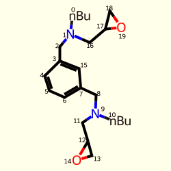 CCCCN(Cc1cccc(CN(CCCC)CC2CO2)c1)CC1CO1